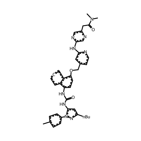 CCCCc1cc(NC(=O)Nc2ccc(OCc3ccnc(Nc4cnc(CC(=O)N(C)C)cn4)c3)c3ccccc23)n(-c2ccc(C)cc2)n1